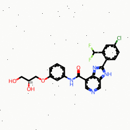 O=C(Nc1cccc(OC[C@@H](O)CO)c1)c1cncc2[nH]c(-c3ccc(Cl)cc3C(F)F)nc12